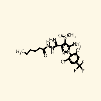 CCCCCC(=O)NNC(=N)c1nn(-c2c(Cl)cc(C(F)(F)F)cc2Cl)c(N)c1[S+](C)[O-]